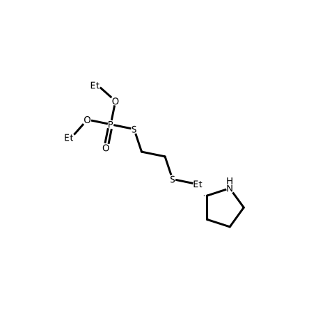 CCOP(=O)(OCC)SCCSCC.[CH]1CCCN1